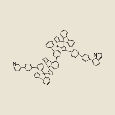 c1cncc(-c2ccc(-c3ccc4c(c3)C3(c5ccccc5-c5ccccc53)c3ccccc3C43c4ccccc4-c4c(-c5ccc6c(c5)-c5ccccc5C65c6ccccc6C6(c7ccccc7-c7ccccc76)c6cc(-c7ccc(-c8ccc(-c9cccc%10cccnc9%10)cc8)cc7)ccc65)cccc43)cc2)c1